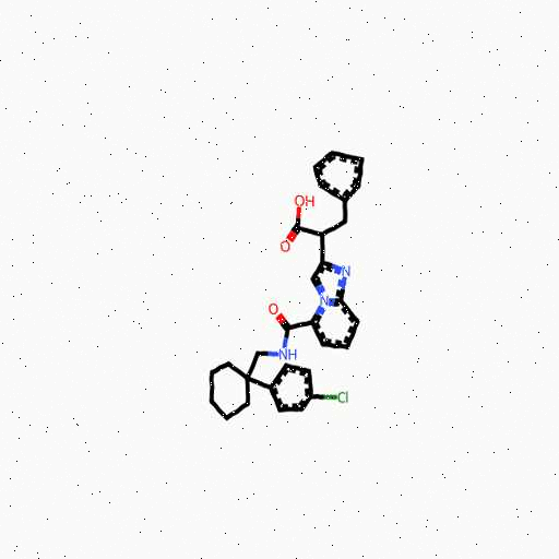 O=C(NCC1(c2ccc(Cl)cc2)CCCCC1)c1cccc2nc(C(Cc3ccccc3)C(=O)O)cn12